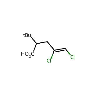 CC(C)(C)C(CC(Cl)=CCl)C(=O)O